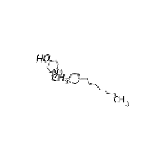 CCCCCCCCc1ccc(CC[N+]2(C)CCC(O)CC2)cc1